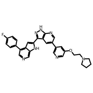 Fc1ccc(-c2cncc3[nH]c(-c4n[nH]c5ncc(-c6cncc(OCCN7CCCC7)c6)cc45)cc23)cc1